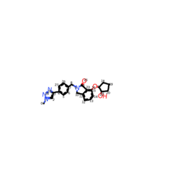 Cn1cc(-c2ccc(CN3Cc4cccc(OC5CCCC5O)c4C3=O)cc2)nn1